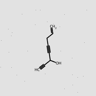 C#CC(O)C#CCC=C